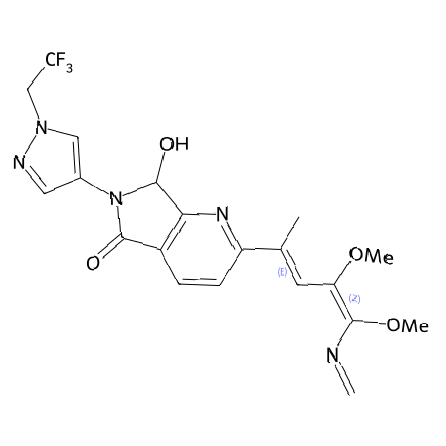 C=N/C(OC)=C(\C=C(/C)c1ccc2c(n1)C(O)N(c1cnn(CC(F)(F)F)c1)C2=O)OC